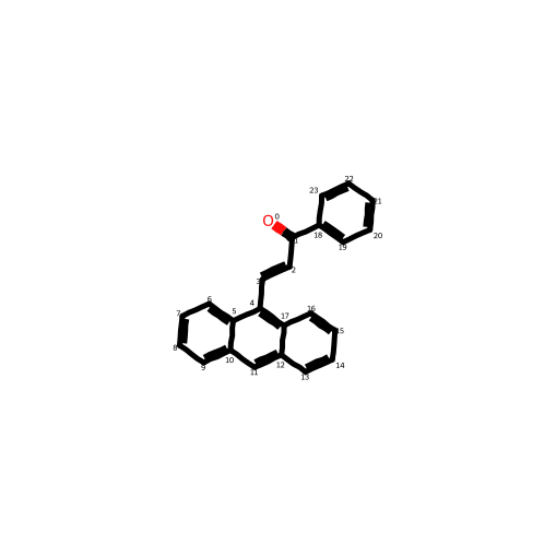 O=C(/C=C/c1c2ccccc2cc2ccccc12)c1ccccc1